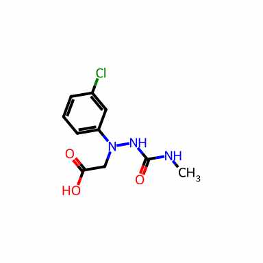 CNC(=O)NN(CC(=O)O)c1cccc(Cl)c1